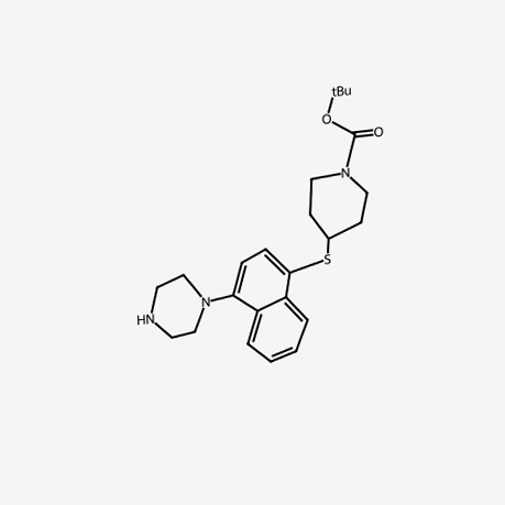 CC(C)(C)OC(=O)N1CCC(Sc2ccc(N3CCNCC3)c3ccccc23)CC1